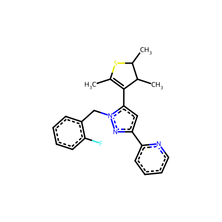 CC1=C(c2cc(-c3ccccn3)nn2Cc2ccccc2F)C(C)C(C)S1